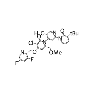 COCc1cc(OCc2ncc(F)cc2F)c(Cl)c(=O)n1-c1cc(-n2cccc(C(C)(C)C)c2=O)ncc1C